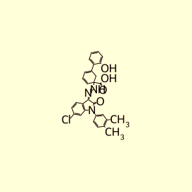 Cc1ccc(N2C(=O)/C(=N\NC3(C(=O)O)C=CC=C(c4ccccc4O)C3)c3ccc(Cl)cc32)cc1C